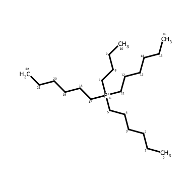 CCCCCC[P+](CCCC)(CCCCCC)CCCCCC